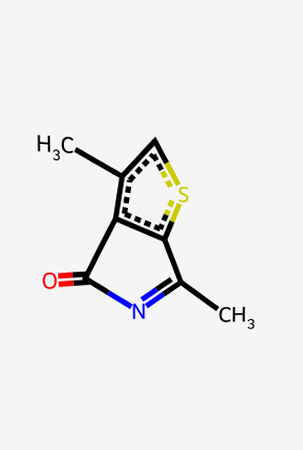 CC1=NC(=O)c2c(C)csc21